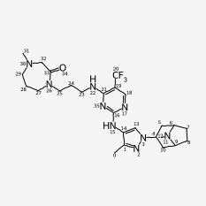 Cc1nn(C2CC3CCC(C2)N3C)cc1Nc1ncc(C(F)(F)F)c(NCCCN2CCCN(C)CC2=O)n1